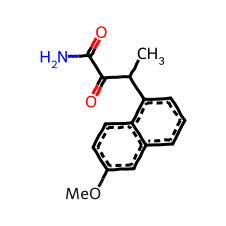 COc1ccc2c(C(C)C(=O)C(N)=O)cccc2c1